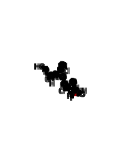 CC(c1c(-c2cc(Cl)c3ncc(-c4cccc(-c5nc6[nH]c(=O)c(CN7CCC(O)C7)cc6cc5-c5cc(Cl)c6ncccc6c5)c4)cc3c2)c(-c2ccccc2)nc2[nH]c(=O)ccc12)C(F)(F)F